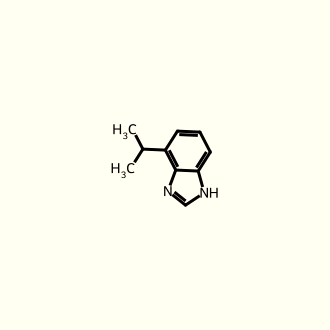 CC(C)c1cccc2[nH]cnc12